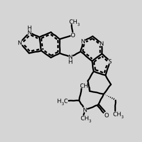 CC[C@]1(C(=O)N(C)C(C)C)CCc2c(sc3ncnc(Nc4cc5cn[nH]c5cc4OC)c23)C1